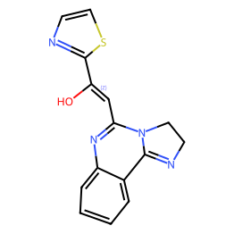 O/C(=C\C1=Nc2ccccc2C2=NCCN12)c1nccs1